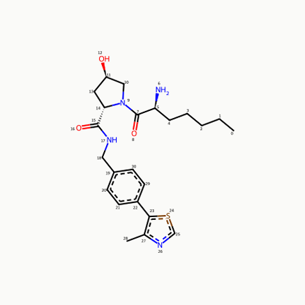 CCCCC[C@H](N)C(=O)N1C[C@H](O)C[C@H]1C(=O)NCc1ccc(-c2scnc2C)cc1